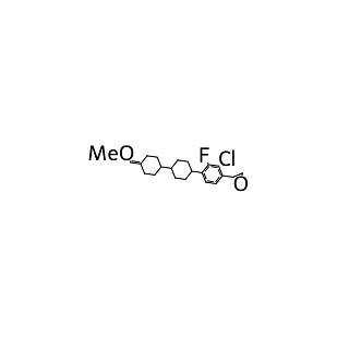 COC=C1CCC(C2CCC(c3ccc(C4CO4)c(Cl)c3F)CC2)CC1